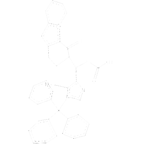 CC(=O)OC(c1ncn(C(c2ccccc2)(c2ccccc2)c2ccccc2)c1C)C1CCc2cc3ccccn3c2C1=O